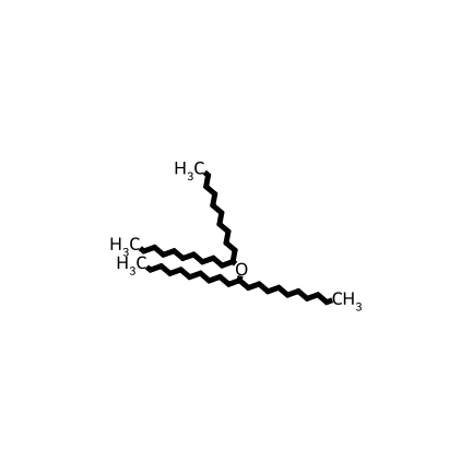 CCCCCCCCCCC(CCCCCCCCCC)OC(CCCCCCCCCC)CCCCCCCCCC